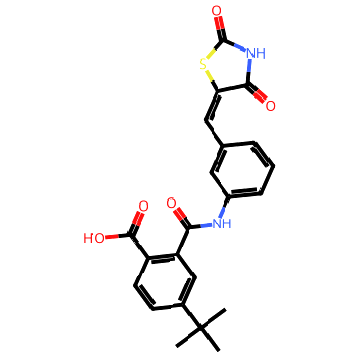 CC(C)(C)c1ccc(C(=O)O)c(C(=O)Nc2cccc(C=C3SC(=O)NC3=O)c2)c1